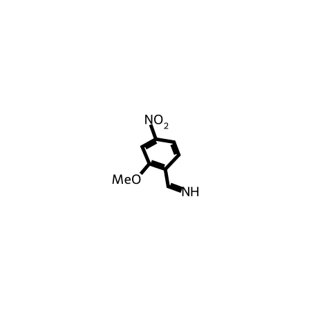 COc1cc([N+](=O)[O-])ccc1C=N